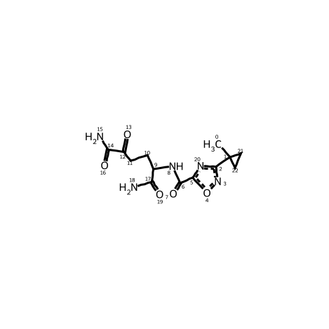 CC1(c2noc(C(=O)NC(CCC(=O)C(N)=O)C(N)=O)n2)CC1